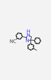 Cc1cccc(C2(c3ccccc3)CNC(c3cccc(C#N)c3)=N2)c1